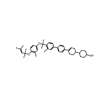 CCCC1CCC(C2CC=C(c3ccc(-c4ccc(C(F)(F)Oc5ccc(OC(F)(F)C=C(F)F)c(F)c5)c(F)c4)cc3)CC2)CC1